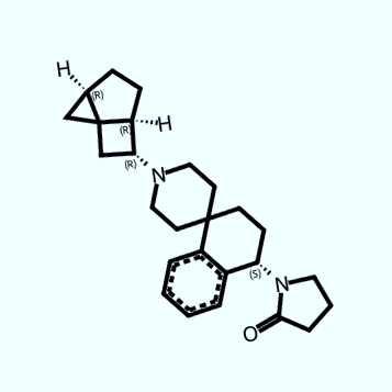 O=C1CCCN1[C@H]1CCC2(CCN([C@@H]3CC45C[C@H]4CC[C@@H]35)CC2)c2ccccc21